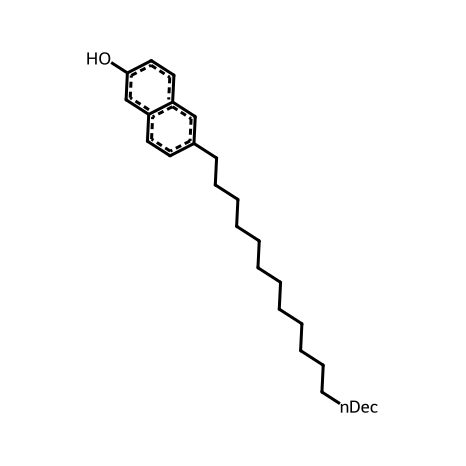 CCCCCCCCCCCCCCCCCCCCCCc1ccc2cc(O)ccc2c1